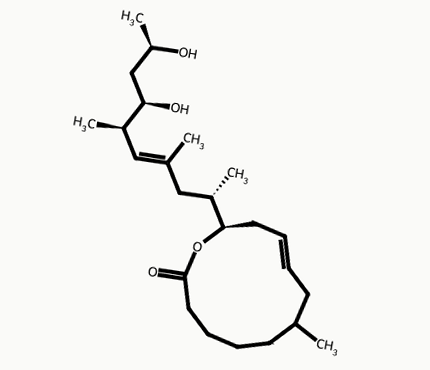 C/C(=C\[C@@H](C)[C@H](O)C[C@@H](C)O)C[C@H](C)[C@H]1C/C=C/CC(C)[CH]CCCC(=O)O1